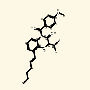 CCCC/C=C/c1cccc2c1OC(C(C)C)C(=O)N2C(=O)c1ccc(OC)cc1